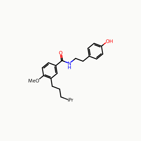 COc1ccc(C(=O)NCCc2ccc(O)cc2)cc1CCCC(C)C